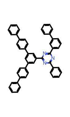 c1ccc(-c2ccc(-c3cc(-c4ccc(-c5ccccc5)cc4)cc(-c4nc(-c5ccccc5)nc(-c5cccc(-c6ccccc6)c5)n4)c3)cc2)cc1